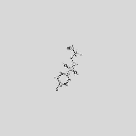 CCCC[C@@H](C)COS(=O)(=O)c1ccc(C)cc1